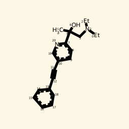 CCN(CC)CC(C)(O)c1ccc(C#Cc2ccccc2)cn1